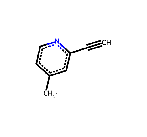 C#Cc1cc([CH2])ccn1